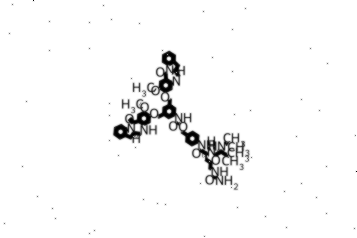 COc1cc2c(cc1OCc1cc(COc3cc4c(cc3OC)C(=O)N3c5ccccc5C[C@H]3CN4)cc(NC(=O)OCc3ccc(NC(=O)[C@H](CCCNC(N)=O)NC(=O)[C@@H](NC(C)C)C(C)C)cc3)c1)N=C[C@@H]1Cc3ccccc3N1C2=O